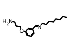 CCCCCCCCN=Cc1cccc(OCCCN)c1